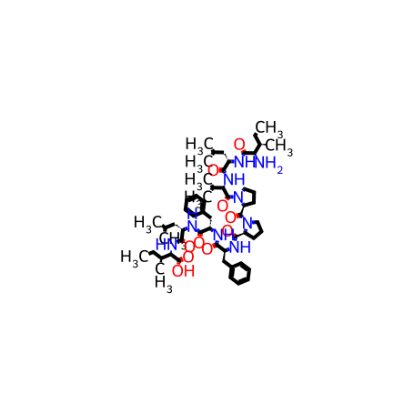 CC[C@H](C)[C@H](N)C(=O)N[C@@H](CC(C)C)C(=O)N[C@H](C(=O)N1CCC[C@H]1C(=O)N1CCC[C@H]1C(=O)N[C@@H](Cc1ccccc1)C(=O)N[C@@H](Cc1ccccc1)C(=O)N[C@@H](CC(C)C)C(=O)N[C@H](C(=O)O)[C@@H](C)CC)C(C)C